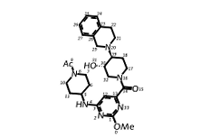 COc1nc(NC2CCN(C(C)=O)CC2)cc(C(=O)N2CC[C@H](N3CCc4ccccc4C3)[C@@H](O)C2)n1